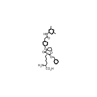 Cc1cc(C)cc(NC(=O)Cc2ccc(OC3(C(=O)N(CCCC[C@H](N)C(=O)O)C(=O)OCc4ccccc4)CCCC3)cc2)c1